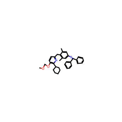 COCOc1ccc(Cc2c(C)cc(N=C(c3ccccc3)c3ccccc3)cc2C)nc1C1CCCCC1